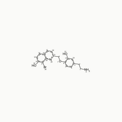 NCCc1ccc(OCc2ccc3ccc(O)c(Br)c3n2)c(O)c1